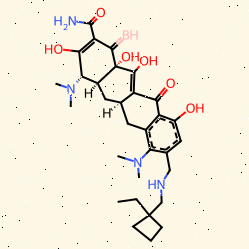 B=C1C(C(N)=O)=C(O)[C@@H](N(C)C)[C@@H]2C[C@@H]3Cc4c(c(O)cc(CNCC5(CC)CCC5)c4N(C)C)C(=O)C3=C(O)[C@]12O